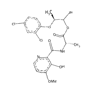 COc1ccnc(C(=O)N[C@@H](C)C(=O)OC(C(C)C)[C@H](C)Oc2ccc(Cl)cc2Cl)c1O